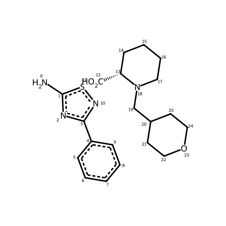 Nc1nc(-c2ccccc2)ns1.O=C(O)[C@@H]1CCCCN1CC1CCOCC1